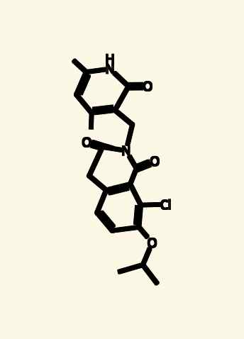 Cc1cc(C)c(CN2C(=O)Cc3ccc(OC(C)C)c(Cl)c3C2=O)c(=O)[nH]1